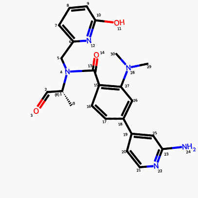 C[C@H](C=O)N(Cc1cccc(O)n1)C(=O)c1ccc(-c2ccnc(N)c2)cc1N(C)C